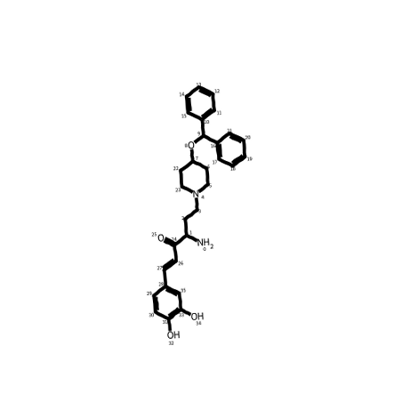 NC(CCN1CCC(OC(c2ccccc2)c2ccccc2)CC1)C(=O)C=Cc1ccc(O)c(O)c1